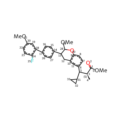 COC(=O)[C@@H](C)C(c1ccc2c(c1)CC(c1ccc(-c3cc(OC)ccc3F)cc1)C(OC)O2)C1CC1